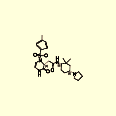 Cc1ccc(S(=O)(=O)N2C=CNC(=O)[C@H]2CC(=O)N[C@H]2CC[C@@H](N3CCCC3)CC2(C)C)cc1